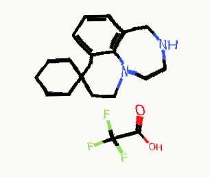 O=C(O)C(F)(F)F.c1cc2c3c(c1)C1(CCCCC1)CCN3CCNC2